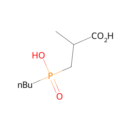 CCCCP(=O)(O)CC(C)C(=O)O